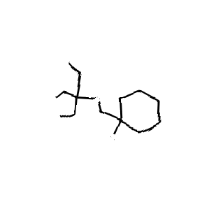 O=[N+]([O-])C1(CNC(CO)(CO)CO)CCCCC1